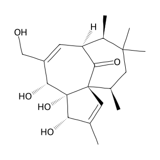 CC1=C[C@]23C(=O)[C@@H](C=C(CO)[C@@H](O)[C@]2(O)[C@H]1O)[C@@H](C)C(C)(C)C[C@H]3C